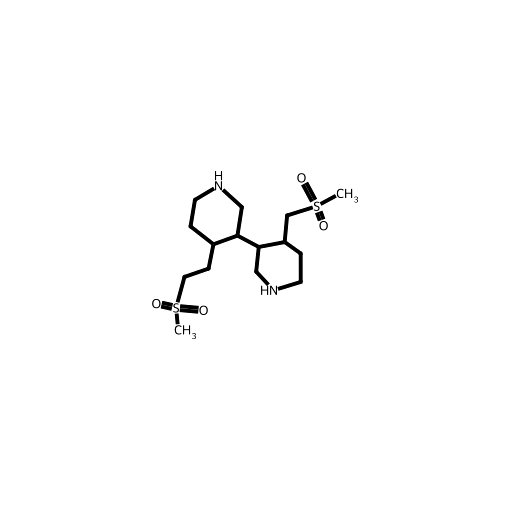 CS(=O)(=O)CCC1CCNCC1C1CNCCC1CS(C)(=O)=O